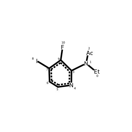 CCN(C(C)=O)c1nccc(I)c1F